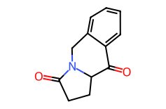 O=C1c2ccccc2CN2C(=O)CCC12